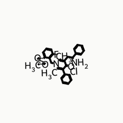 Cc1c(CC(N)c2ccccc2)c(=O)c(-c2ccccc2Cl)c(C)n1Cc1c(F)cccc1S(C)(=O)=O